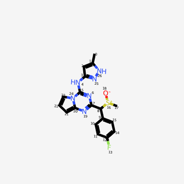 Cc1cc(Nc2nc(C(c3ccc(F)cc3)[S+](C)[O-])nc3cccn23)n[nH]1